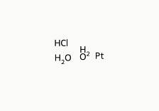 Cl.O.O.[Pt]